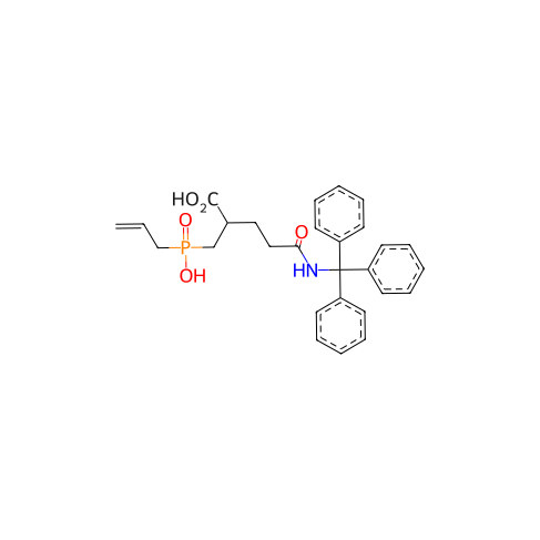 C=CCP(=O)(O)CC(CCC(=O)NC(c1ccccc1)(c1ccccc1)c1ccccc1)C(=O)O